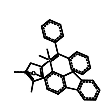 COc1ccc2c([c]1[Zr]([CH3])([CH3])([C]1=CC(C)=C(C)C1)=[C](c1ccccc1)c1ccccc1)Cc1ccccc1-2